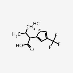 CC(C)C(C(=O)O)c1cc(C(F)(F)F)cs1.Cl